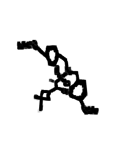 COc1ccc(CN(Cc2ccc(OC)cc2)S(=O)(=O)[C@@H](C)[C@@H](O)C2CC(C)(C)C2)cc1